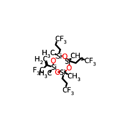 C=C(C(F)(F)F)[Si]1(C)O[Si](C)(CCC(F)(F)F)O[Si](C)(CCC(F)(F)F)O[Si](C)(CCC(F)(F)F)O1